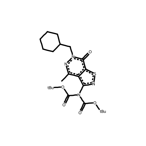 Cc1nn(CC2CCCCC2)c(=O)c2snc(N(C(=O)OC(C)(C)C)C(=O)OC(C)(C)C)c12